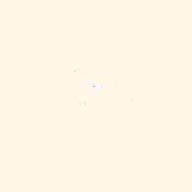 CCN(CC)PBr